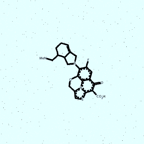 CNCC1CCC=C2CN(c3c(F)cc4c(=O)c(C(=O)O)c5scc6n5c4c3OC6)CC21